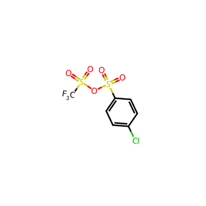 O=S(=O)(OS(=O)(=O)C(F)(F)F)c1ccc(Cl)cc1